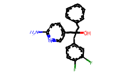 Nc1ccc(C(O)(c2ccccc2)c2ccc(F)c(F)c2)cn1